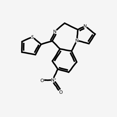 O=[N+]([O-])c1ccc2c(c1)C(c1cccs1)=NCc1nccn1-2